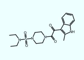 CCN(CC)S(=O)(=O)N1CCN(C(=O)C(=O)c2c(C)[nH]c3ccccc23)CC1